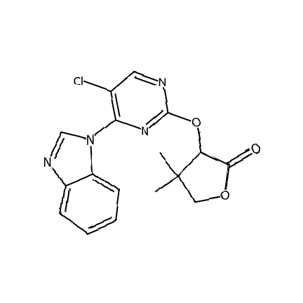 CC1(C)COC(=O)C1Oc1ncc(Cl)c(-n2cnc3ccccc32)n1